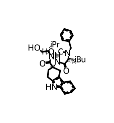 CC[C@H](C)[C@@H](C(=O)N[C@@]1(C(=O)N[C@H](CO)C(C)C)CCc2[nH]c3ccccc3c2C1)N(Cc1ccccc1)C(=O)O